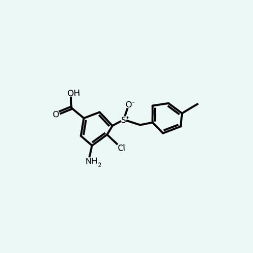 Cc1ccc(C[S+]([O-])c2cc(C(=O)O)cc(N)c2Cl)cc1